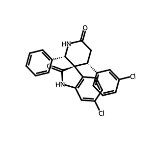 O=C1C[C@H](c2cccc(Cl)c2)[C@@]2(C(=O)Nc3cc(Cl)ccc32)[C@H](c2ccccc2)N1